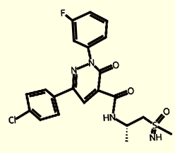 C[C@@H](CS(C)(=N)=O)NC(=O)c1cc(-c2ccc(Cl)cc2)nn(-c2cccc(F)c2)c1=O